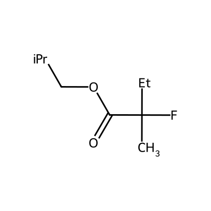 CCC(C)(F)C(=O)OCC(C)C